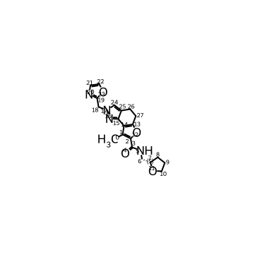 Cc1c(C(=O)NC[C@@H]2CCCO2)oc2c1-c1nn(Cc3ncco3)cc1CC2